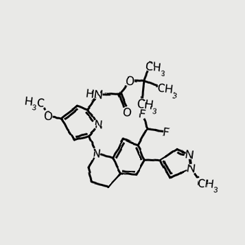 COc1cc(NC(=O)OC(C)(C)C)nc(N2CCCc3cc(-c4cnn(C)c4)c(C(F)F)cc32)c1